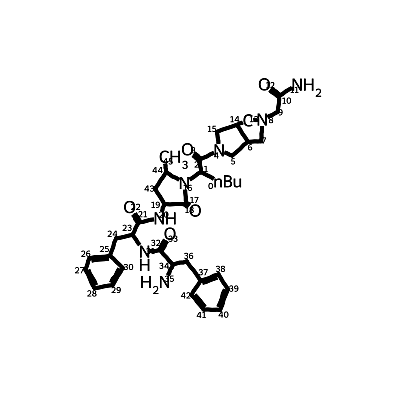 CCCCC(C(=O)N1CC2CN(CC(N)=O)CC2C1)N1C(=O)C(NC(=O)C(Cc2ccccc2)NC(=O)C(N)Cc2ccccc2)CC1C